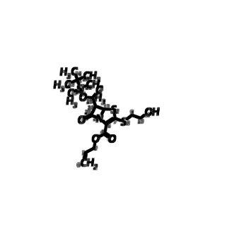 C=CCOC(=O)C1=C(SCCO)SC2C(C(C)O[Si](C)(C)C(C)(C)C)C(=O)N12